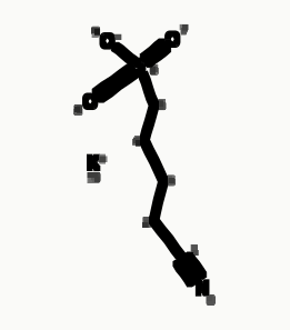 N#CCCCCS(=O)(=O)[O-].[K+]